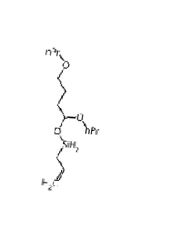 C=CC[SiH2]OC(CCCOCCC)OCCC